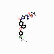 CC(F)(F)c1ccc(Oc2cccc3cc(C(=O)N4CC(CNS(C)(=O)=O)C4)ccc23)cc1